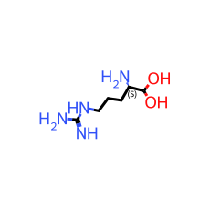 N=C(N)NCCC[C@H](N)C(O)O